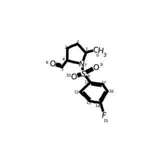 CC1CCC(C=O)N1S(=O)(=O)c1ccc(F)cc1